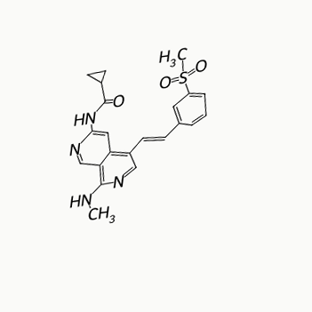 CNc1ncc(C=Cc2cccc(S(C)(=O)=O)c2)c2cc(NC(=O)C3CC3)ncc12